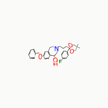 CC1(C)COC(CCCN2CCc3cc(OCc4ccccc4)ccc3C(O)C2)(c2ccc(F)cc2)OC1